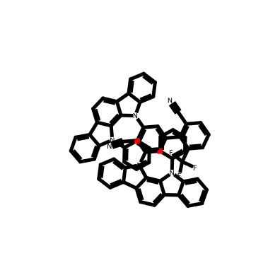 N#Cc1cccc(C(F)(F)F)c1-c1cc(-n2c3ccccc3c3ccc4c5ccccc5n(-c5ccccc5)c4c32)c(C#N)c(-n2c3ccccc3c3ccc4c5ccccc5n(-c5ccccc5)c4c32)c1